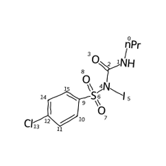 CCCNC(=O)N(I)S(=O)(=O)c1ccc(Cl)cc1